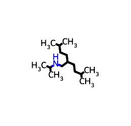 CC(C)CCC(CCC(C)C)CNC(C)C